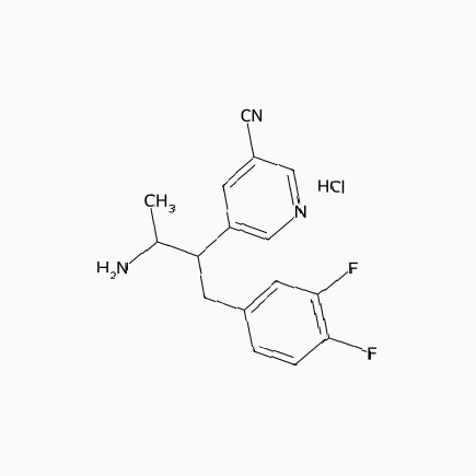 CC(N)C(Cc1ccc(F)c(F)c1)c1cncc(C#N)c1.Cl